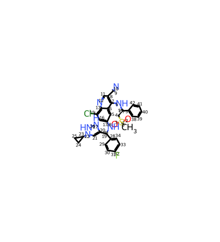 CS(=O)(=O)C[C@@H](Nc1c(C#N)cnc2c(Cl)cc(N[C@H](C3=CN(C4CC4)NN3)c3ccc(F)cc3)cc12)c1ccccc1